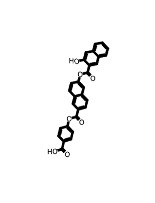 O=C(O)c1ccc(OC(=O)c2ccc3cc(OC(=O)c4cc5ccccc5cc4O)ccc3c2)cc1